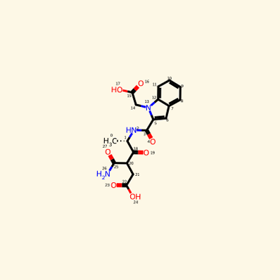 C[C@H](NC(=O)c1cc2ccccc2n1CC(=O)O)C(=O)C(CC(=O)O)C(N)=O